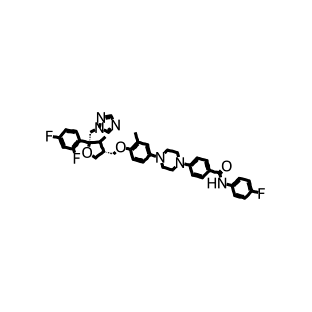 Cc1cc(N2CCN(c3ccc(C(=O)Nc4ccc(F)cc4)cc3)CC2)ccc1OC[C@@H]1CO[C@@](Cn2cncn2)(c2ccc(F)cc2F)C1C